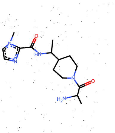 CC(N)C(=O)N1CCC(C(C)NC(=O)c2nccn2C)CC1